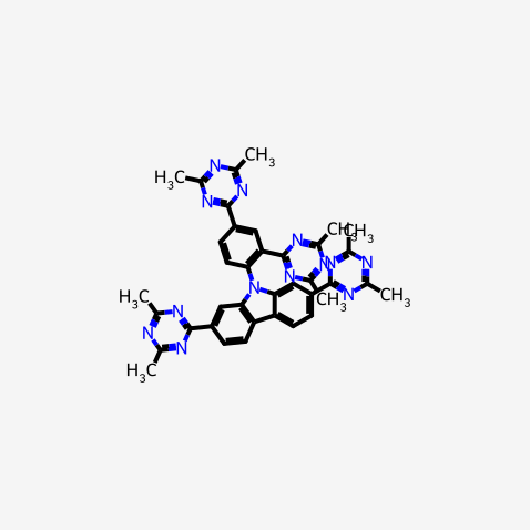 Cc1nc(C)nc(-c2ccc(-n3c4cc(-c5nc(C)nc(C)n5)ccc4c4ccc(-c5nc(C)nc(C)n5)cc43)c(-c3nc(C)nc(C)n3)c2)n1